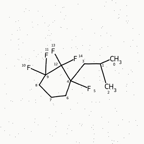 CC(C)CC1(F)CCCC(F)(F)C1(F)F